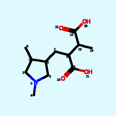 CC1CN(C)CC1CC(C(=O)O)C(C)C(=O)O